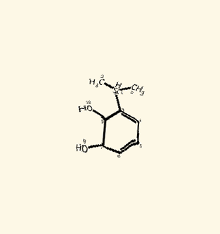 C[SiH](C)C1=CC=CC(O)C1O